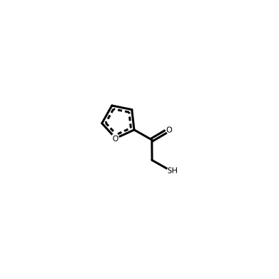 O=C(CS)c1ccco1